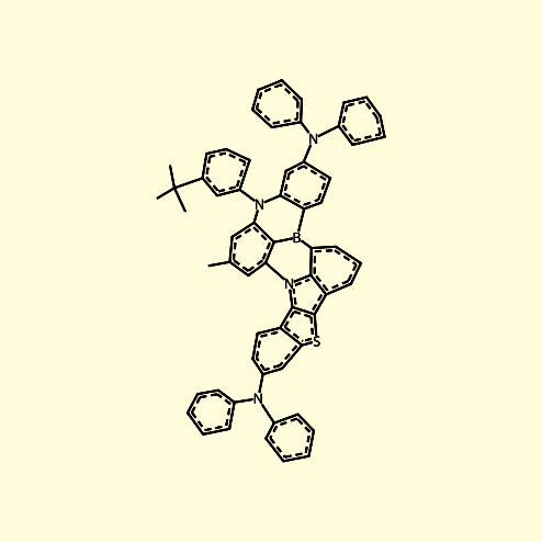 Cc1cc2c3c(c1)-n1c4c(cccc4c4sc5cc(N(c6ccccc6)c6ccccc6)ccc5c41)B3c1ccc(N(c3ccccc3)c3ccccc3)cc1N2c1cccc(C(C)(C)C)c1